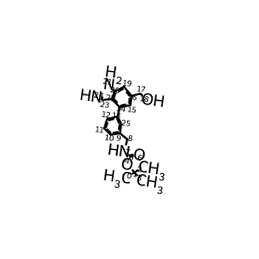 CC(C)(C)OC(=O)NCc1cccc(-c2cc(CO)cc(N)c2C=N)c1